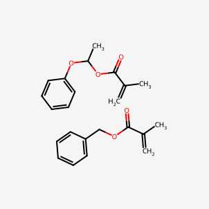 C=C(C)C(=O)OC(C)Oc1ccccc1.C=C(C)C(=O)OCc1ccccc1